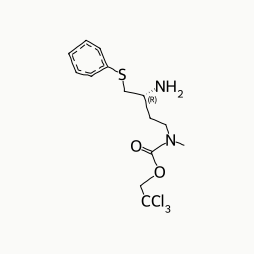 CN(CC[C@@H](N)CSc1ccccc1)C(=O)OCC(Cl)(Cl)Cl